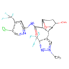 Cn1cc(C2C3OC(CC3O)C2C(=O)Nc2cc(C(F)(F)F)c(Cl)cn2)c(C(F)(F)F)n1